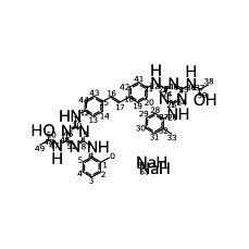 Cc1ccccc1Nc1nc(Nc2ccc(C=Cc3ccc(Nc4nc(Nc5ccccc5C)nc(NC(C)O)n4)cc3)cc2)nc(NC(C)O)n1.[NaH].[NaH]